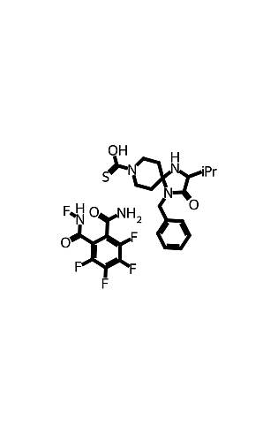 CC(C)C1NC2(CCN(C(O)=S)CC2)N(Cc2ccccc2)C1=O.NC(=O)c1c(F)c(F)c(F)c(F)c1C(=O)NF